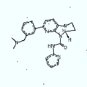 CN(C)Cc1cccc(-c2ccc3c(n2)N(C(=O)Nc2ccccn2)[C@H]2CCN32)c1